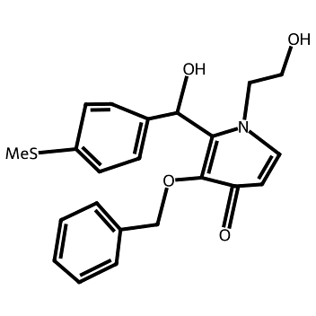 CSc1ccc(C(O)c2c(OCc3ccccc3)c(=O)ccn2CCO)cc1